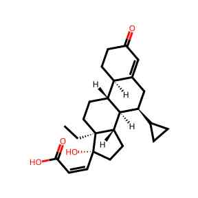 CC[C@]12CC[C@H]3[C@@H]([C@H](C4CC4)CC4=CC(=O)CC[C@@H]43)[C@@H]1CC[C@@]2(O)/C=C\C(=O)O